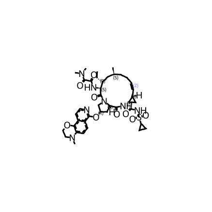 CC[C@@H]1C[C@@H](C)CC/C=C\[C@@H]2C[C@@]2(C(=O)NS(=O)(=O)C2CC2)NC(=O)[C@@H]2C[C@@H](Oc3nccc4c5c(ccc34)N(C)CCO5)CN2C(=O)[C@H]1NC(=O)C(=O)N(C)C